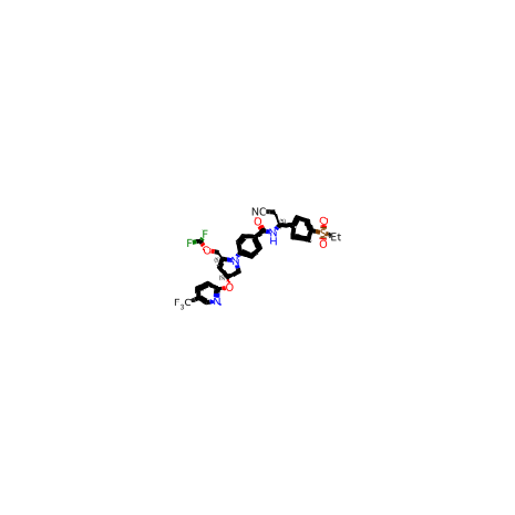 CCS(=O)(=O)c1ccc([C@H](CC#N)NC(=O)c2ccc(N3C[C@@H](Oc4ccc(C(F)(F)F)cn4)C[C@H]3COC(F)F)cc2)cc1